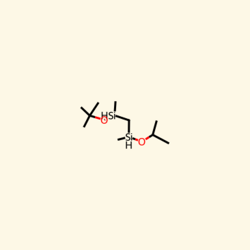 CC(C)O[SiH](C)C[SiH](C)OC(C)(C)C